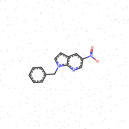 O=[N+]([O-])c1cnc2c(ccn2Cc2ccccc2)c1